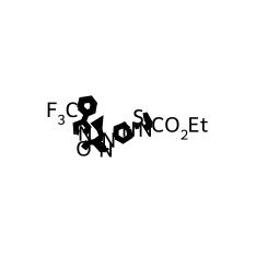 CCOC(=O)c1csc(N2CCC(n3ncc(C(=O)N4CCC(c5ccccc5C(F)(F)F)C4)c3C3CC3)CC2)n1